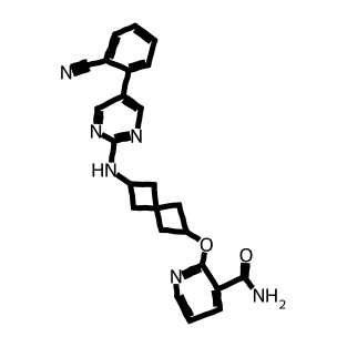 N#Cc1ccccc1-c1cnc(NC2CC3(C2)CC(Oc2ncccc2C(N)=O)C3)nc1